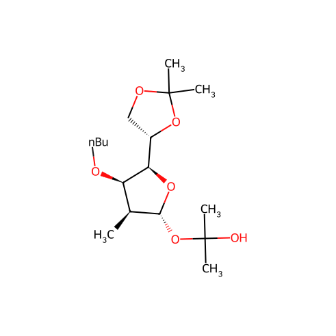 CCCCO[C@@H]1[C@H](C)[C@@H](OC(C)(C)O)O[C@@H]1[C@@H]1COC(C)(C)O1